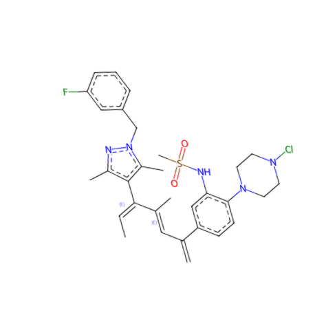 C=C(/C=C(C)/C(=C\C)c1c(C)nn(Cc2cccc(F)c2)c1C)c1ccc(N2CCN(Cl)CC2)c(NS(C)(=O)=O)c1